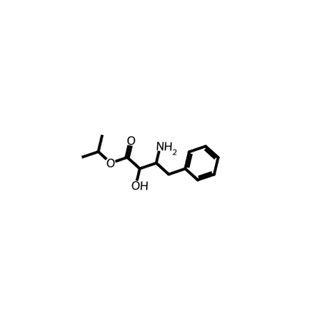 CC(C)OC(=O)C(O)C(N)Cc1ccccc1